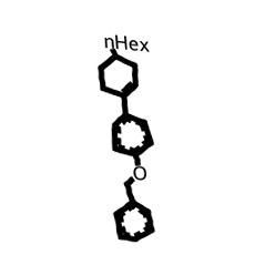 CCCCCCC1CC=C(c2ccc(OCc3ccccc3)cc2)CC1